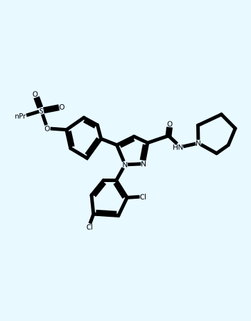 CCCS(=O)(=O)Oc1ccc(-c2cc(C(=O)NN3CCCCC3)nn2-c2ccc(Cl)cc2Cl)cc1